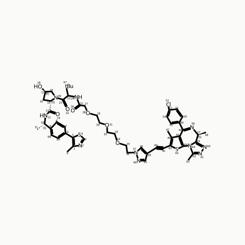 Cc1ncsc1-c1ccc([C@H](C)NC(=O)[C@@H]2C[C@@H](O)CN2C(=O)C(NC(=O)COCCOCCOCCn2cc(C#Cc3sc4c(c3C)C(c3ccc(Cl)cc3)=N[C@@H](C)c3nnc(C)n3-4)cn2)C(C)(C)C)cc1